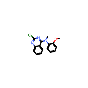 COc1ccccc1N(C)c1nc(Cl)nc2ccccc12